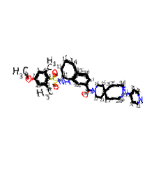 COc1cc(C)c(S(=O)(=O)N[C@H]2CCCc3ccc(C(=O)N4CCC5(CC4)CCN(c4ccncc4)CC5)cc32)c(C)c1